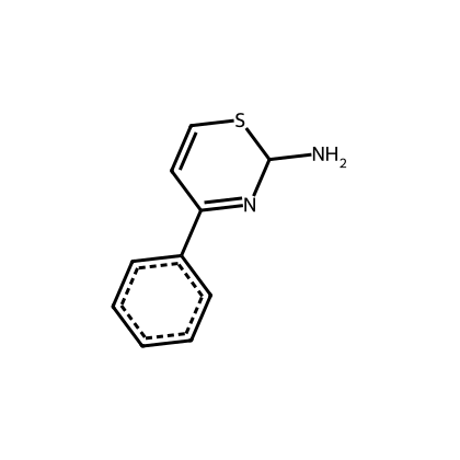 NC1N=C(c2ccccc2)C=CS1